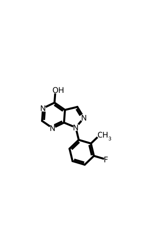 Cc1c(F)cccc1-n1ncc2c(O)ncnc21